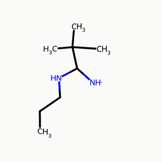 CCCNC([NH])C(C)(C)C